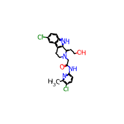 Cc1nc(NC(=O)CN2CCc3c([nH]c4ccc(Cl)cc34)C2CCO)ccc1Cl